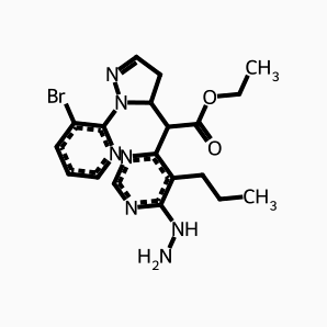 CCCc1c(NN)ncnc1C(C(=O)OCC)C1CC=NN1c1ncccc1Br